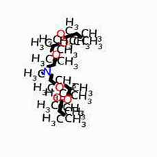 CC(COC(C)(C)CCN(C)CCC(C)(C)OCC(C)C(C)(C)OC(=O)C(C)(C)CC(C)(C)C)C(C)(C)OC(=O)C(C)(C)CC(C)(C)C